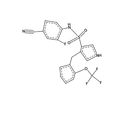 N#Cc1ccc(NS(=O)(=O)c2c[nH]cc2Cc2ccccc2OC(F)(F)F)c(F)c1